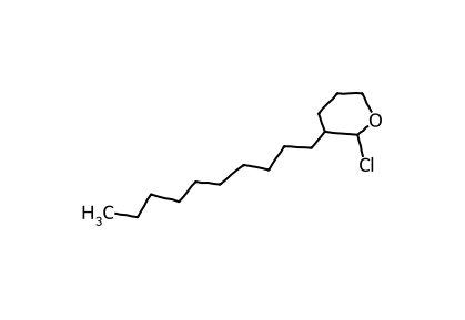 CCCCCCCCCCC1CCCOC1Cl